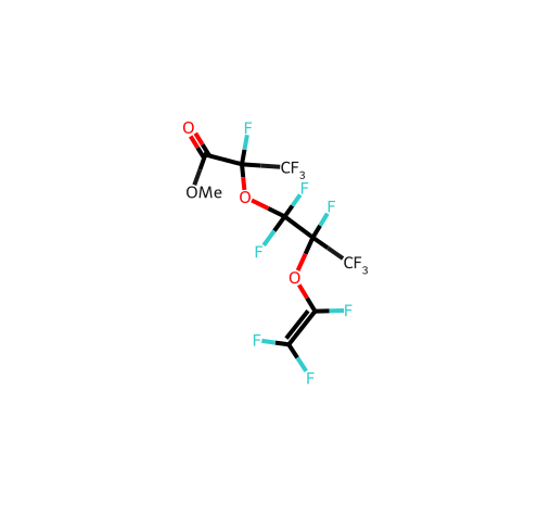 COC(=O)C(F)(OC(F)(F)C(F)(OC(F)=C(F)F)C(F)(F)F)C(F)(F)F